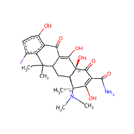 CN(C)[C@]1(C)C(O)=C(C(N)=O)C(=O)[C@@]2(O)C(O)=C3C(=O)c4c(O)ccc(I)c4C(C)(C)C3CC21